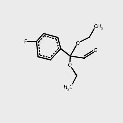 CCOC(C=O)(OCC)c1ccc(F)cc1